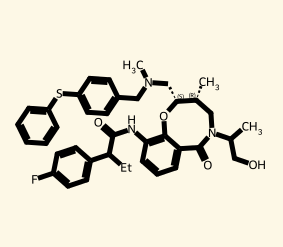 CCC(C(=O)Nc1cccc2c1O[C@H](CN(C)Cc1ccc(Sc3ccccc3)cc1)[C@H](C)CN(C(C)CO)C2=O)c1ccc(F)cc1